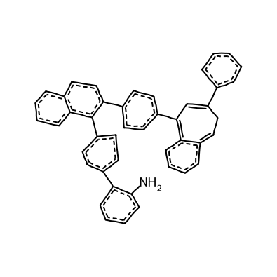 Nc1ccccc1-c1ccc(-c2c(-c3ccc(C4=c5ccccc5=CCC(c5ccccc5)=C4)cc3)ccc3ccccc23)cc1